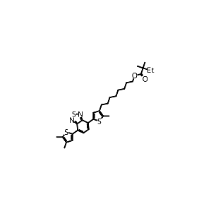 CCC(C)(C)C(=O)OCCCCCCCCc1cc(-c2ccc(-c3cc(C)c(C)s3)c3nsnc23)sc1C